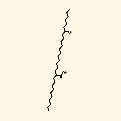 CCCCCCCCCCC(CCCCCCCCCCCC(O)CCCCCC)C(=O)O